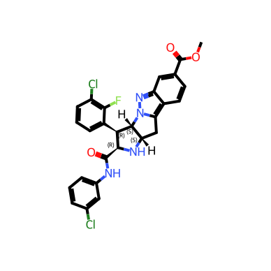 COC(=O)c1ccc2c3n(nc2c1)[C@H]1[C@H](c2cccc(Cl)c2F)[C@H](C(=O)Nc2cccc(Cl)c2)N[C@H]1C3